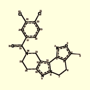 Cc1onc2c1CCn1nc3c(c1-2)CN(C(=O)c1ccc(Cl)c(Cl)c1)CC3